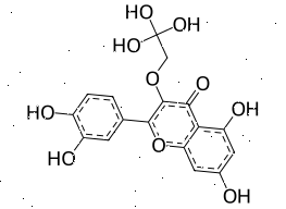 O=c1c(OCC(O)(O)O)c(-c2ccc(O)c(O)c2)oc2cc(O)cc(O)c12